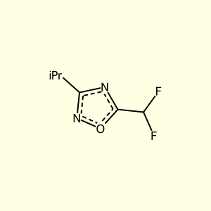 CC(C)c1noc(C(F)F)n1